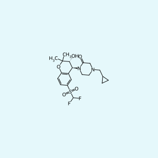 CC1(C)Oc2ccc(S(=O)(=O)C(F)F)cc2[C@H](N2CCN(CC3CC3)CC2=O)[C@H]1O